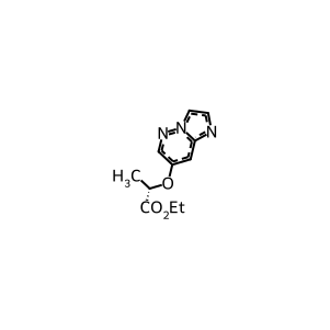 CCOC(=O)[C@H](C)Oc1cnn2ccnc2c1